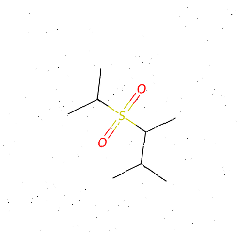 CC(C)C(C)S(=O)(=O)C(C)C